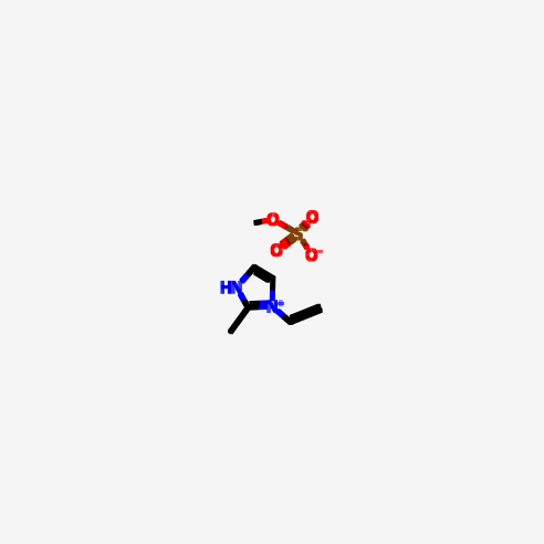 C=C[n+]1cc[nH]c1C.COS(=O)(=O)[O-]